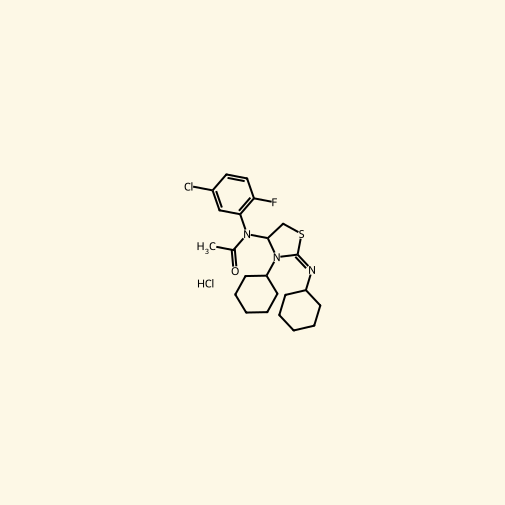 CC(=O)N(c1cc(Cl)ccc1F)C1CSC(=NC2CCCCC2)N1C1CCCCC1.Cl